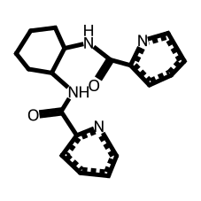 O=C(NC1CCCCC1NC(=O)c1ccccn1)c1ccccn1